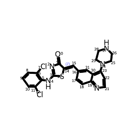 O=C1N=C(Nc2c(Cl)cccc2Cl)S/C1=C\c1ccc2nccc(N3CCNCC3)c2c1